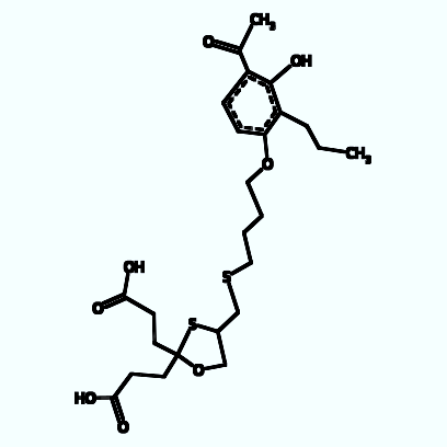 CCCc1c(OCCCCSCC2COC(CCC(=O)O)(CCC(=O)O)S2)ccc(C(C)=O)c1O